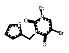 CCn1cc(Br)c(=O)n(Cc2cccs2)c1=O